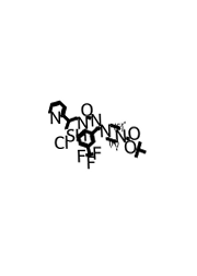 C[C@@H]1CN(c2nc(=O)n3c4c(cc(C(F)(F)F)cc24)[SH](Cl)CC(c2ccccn2)C3)C[C@H](C)N1C(=O)OC(C)(C)C